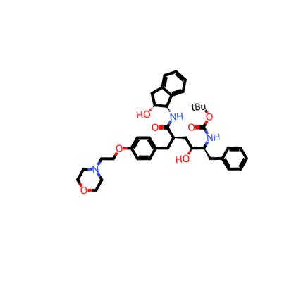 CC(C)(C)OC(=O)N[C@@H](Cc1ccccc1)[C@@H](O)C[C@@H](Cc1ccc(OCCN2CCOCC2)cc1)C(=O)N[C@H]1c2ccccc2C[C@H]1O